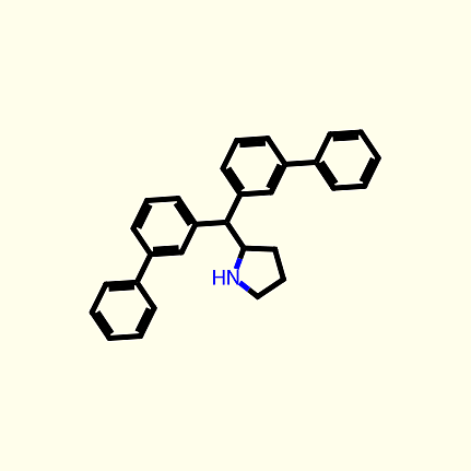 c1ccc(-c2cccc(C(c3cccc(-c4ccccc4)c3)C3CCCN3)c2)cc1